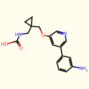 Nc1cccc(-c2cncc(OCC3(CNC(=O)O)CC3)c2)c1